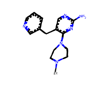 CCN1CCN(c2nc(N)ncc2Cc2cccnc2)CC1